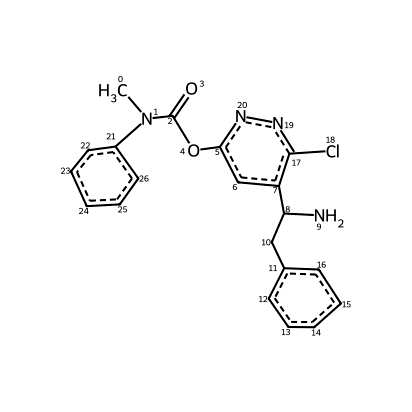 CN(C(=O)Oc1cc(C(N)Cc2ccccc2)c(Cl)nn1)c1ccccc1